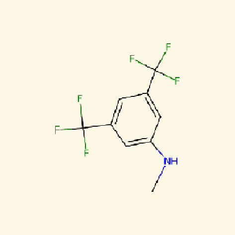 CNc1cc(C(F)(F)F)cc(C(F)(F)F)c1